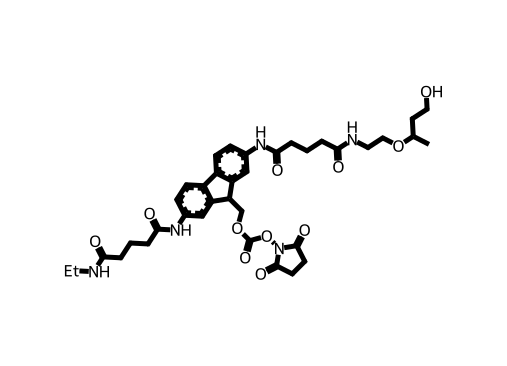 CCNC(=O)CCCC(=O)Nc1ccc2c(c1)C(COC(=O)ON1C(=O)CCC1=O)c1cc(NC(=O)CCCC(=O)NCCOC(C)CCO)ccc1-2